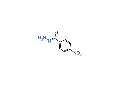 CCC(=NN)c1ccc([N+](=O)[O-])cc1